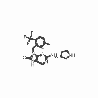 Cc1ccc(C(F)(F)F)c(Cn2c(=O)[nH]c3cnc(NC[C@@H]4CCNC4)nc32)c1F